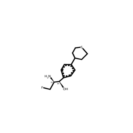 N[C@H](CF)[C@H](O)c1ccc(C2CCSCC2)cc1